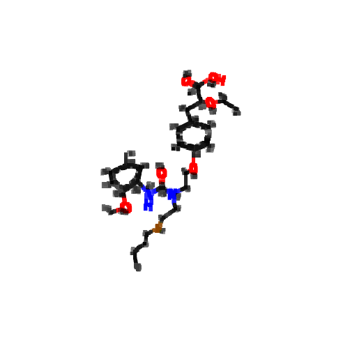 CCCCSCCN(CCOc1ccc(CC(OCC)C(=O)O)cc1)C(=O)Nc1cc(C)ccc1OC